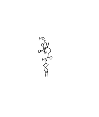 O=C(NC1CC2(CNC2)C1)[C@@H]1CC[C@@H]2CN1C(=O)N2OSO